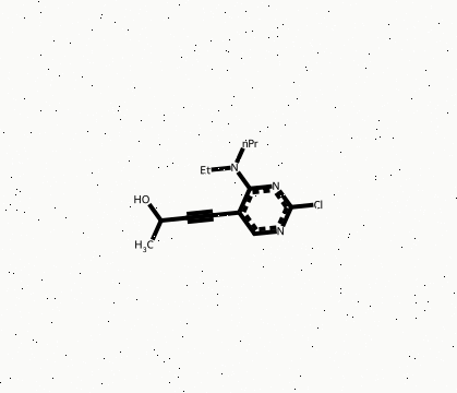 CCCN(CC)c1nc(Cl)ncc1C#CC(C)O